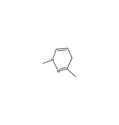 CC1=NN(C)C=CC1